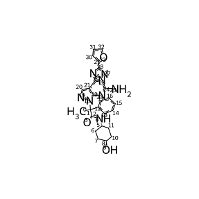 CC(C(=O)N[C@H]1CC[C@H](O)CC1)(c1ccccc1)n1ncc2c1nc(N)n1nc(-c3ccco3)nc21